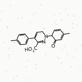 CC1=CC(=O)C(N2CC=C(c3ccc(C)cc3)C(C(=O)O)=N2)C=C1